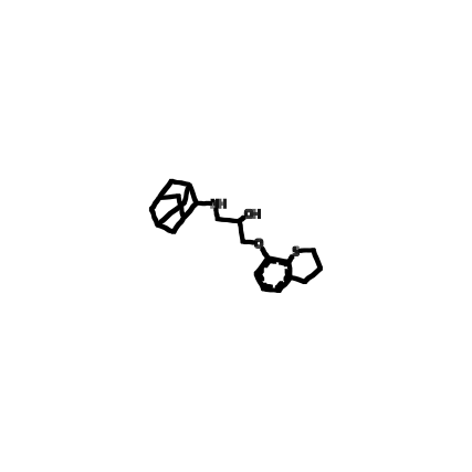 OC(CNC1C2CC3CC(C2)CC1C3)COc1cccc2c1SCCC2